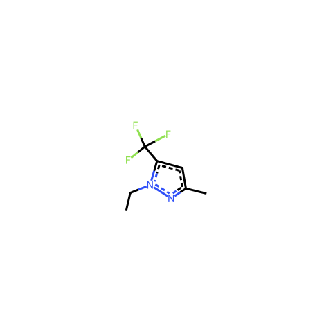 CCn1nc(C)cc1C(F)(F)F